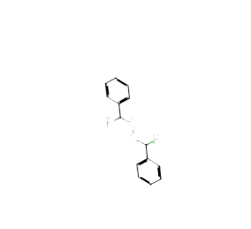 FC(SSC(F)c1ccccc1)c1ccccc1